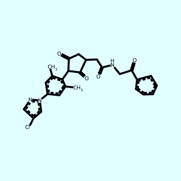 Cc1cc(-n2cc(Cl)cn2)cc(C)c1C1C(=O)CC(CC(=O)NCC(=O)c2ccccc2)C1=O